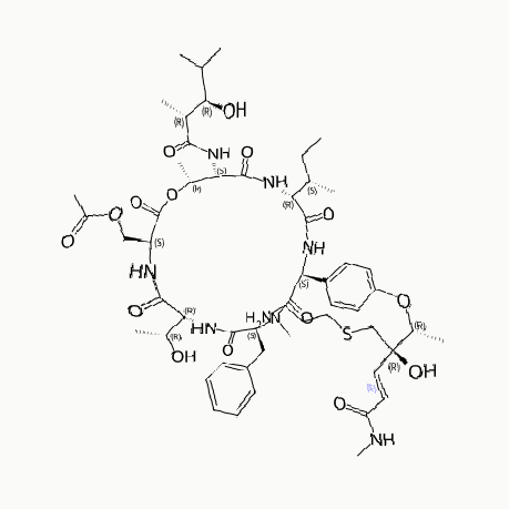 CC[C@H](C)[C@H]1NC(=O)[C@@H](NC(=O)[C@H](C)[C@H](O)C(C)C)[C@@H](C)OC(=O)[C@H](COC(C)=O)NC(=O)[C@@H]([C@@H](C)O)NC(=O)[C@H](Cc2ccccc2)N(C)C(=O)[C@H](c2ccc(O[C@H](C)[C@](O)(/C=C/C(=O)NC)CSCCCN)cc2)NC1=O